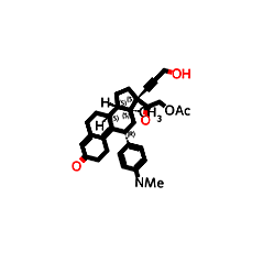 CNc1ccc([C@H]2C[C@@]3(C)[C@@H](CC[C@]3(C#CCO)C(=O)COC(C)=O)[C@@H]3CCC4=CC(=O)CCC4=C32)cc1